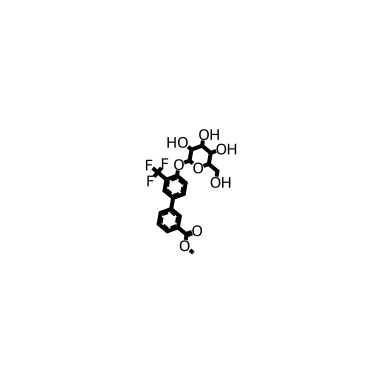 COC(=O)c1cccc(-c2ccc(OC3OC(CO)C(O)C(O)C3O)c(C(F)(F)F)c2)c1